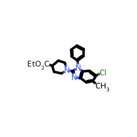 CCOC(=O)C1CCN(c2nc3cc(C)c(Cl)cc3n2-c2ccccc2)CC1